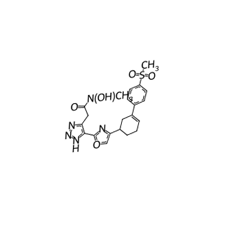 CN(O)C(=O)Cc1nn[nH]c1-c1nc(C2CCC=C(c3ccc(S(C)(=O)=O)cc3)C2)co1